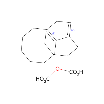 C1=C(\C2=C\CCCCCC2)CCCCCC/1.O=C(O)OC(=O)O